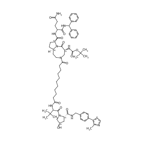 Cc1ncsc1-c1ccc(CNC(=O)[C@@H]2C[C@@H](O)CN2C(=O)C(NC(=O)CCCCCCCCCC(=O)N2CC[C@H]3CC[C@@H](C(=O)NC(CCC(N)=O)C(=O)NC(c4ccccc4)c4ccccc4)N3C(=O)[C@@H](NC(=O)OC(C)(C)C)C2)C(C)(C)C)cc1